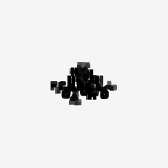 C=CC(=O)NC(NC(=O)[C@@H]1[C@@H]2[C@H](CN1C(=O)C(NC(=O)C(F)(F)F)C1CC1)C2(C)C)C(C)C